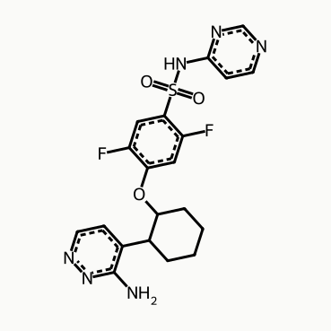 Nc1nnccc1C1CCCCC1Oc1cc(F)c(S(=O)(=O)Nc2ccncn2)cc1F